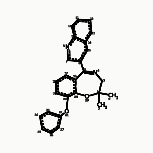 CC1(C)CN=C(c2cnc3ccccc3c2)c2cccc(Oc3ccccc3)c2O1